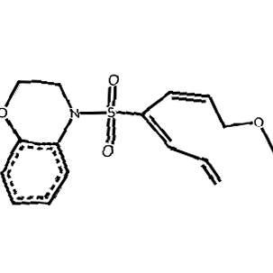 C=C/C=C(\C=C/COC)S(=O)(=O)N1CCOc2ccccc21